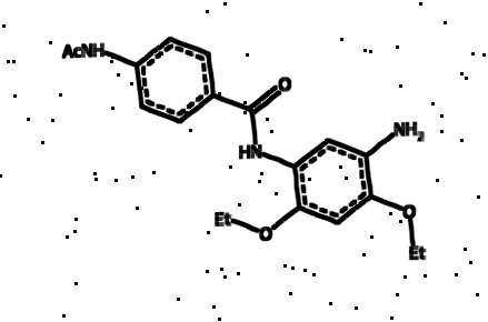 CCOc1cc(OCC)c(NC(=O)c2ccc(NC(C)=O)cc2)cc1N